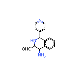 NC1c2ccccc2C(c2ccncc2)NC1C=O